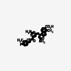 Cc1cc(CNC(=O)c2cc(CN(CC(N)=O)C3CCc4c3ccc(C(=O)O)c4C)nc(N)n2)ccc1F